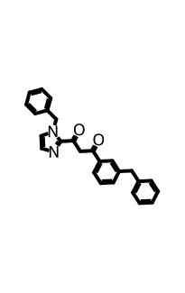 O=C(CC(=O)c1nccn1Cc1ccccc1)c1cccc(Cc2ccccc2)c1